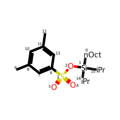 CCCCCCCC[Si](OS(=O)(=O)c1cc(C)cc(C)c1)(C(C)C)C(C)C